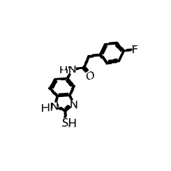 O=C(Cc1ccc(F)cc1)Nc1ccc2[nH]c(S)nc2c1